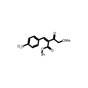 COCC(=O)C(=Cc1ccc([N+](=O)[O-])cc1)C(=O)OC(C)C